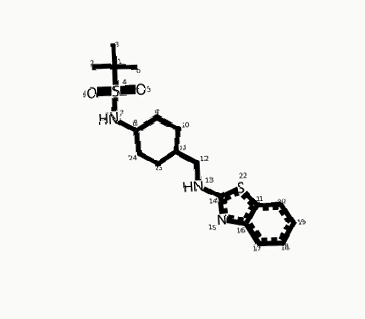 CC(C)(C)S(=O)(=O)NC1CCC(CNc2nc3ccccc3s2)CC1